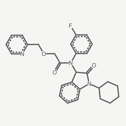 O=C1C(N(C(=O)COCc2ccccn2)c2cccc(F)c2)c2ccccc2N1C1CCCCC1